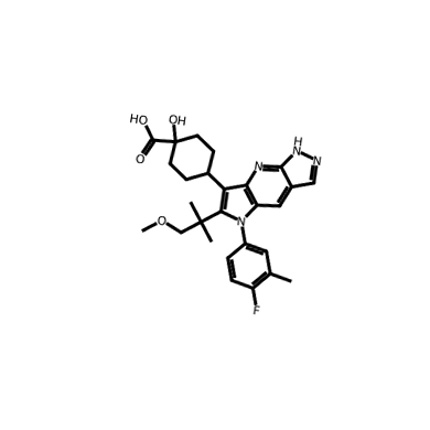 COCC(C)(C)c1c(C2CCC(O)(C(=O)O)CC2)c2nc3[nH]ncc3cc2n1-c1ccc(F)c(C)c1